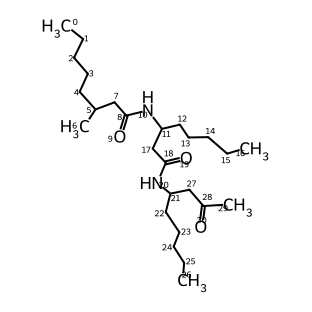 CCCCCC(C)CC(=O)NC(CCCCC)CC(=O)NC(CCCCC)CC(C)=O